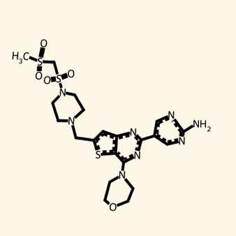 CS(=O)(=O)CS(=O)(=O)N1CCN(Cc2cc3nc(-c4cnc(N)nc4)nc(N4CCOCC4)c3s2)CC1